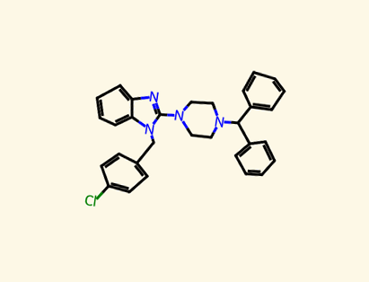 Clc1ccc(Cn2c(N3CCN(C(c4ccccc4)c4ccccc4)CC3)nc3ccccc32)cc1